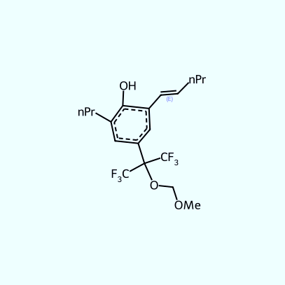 CCC/C=C/c1cc(C(OCOC)(C(F)(F)F)C(F)(F)F)cc(CCC)c1O